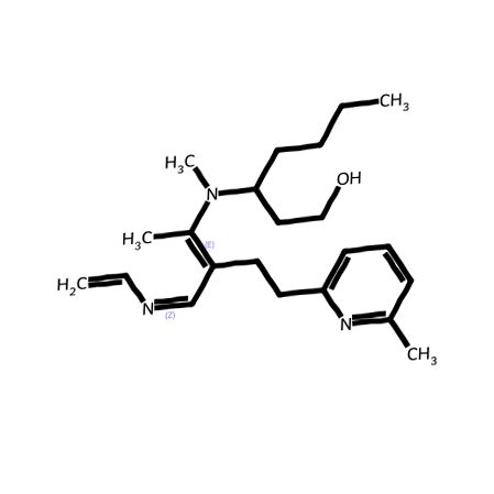 C=C/N=C\C(CCc1cccc(C)n1)=C(/C)N(C)C(CCO)CCCC